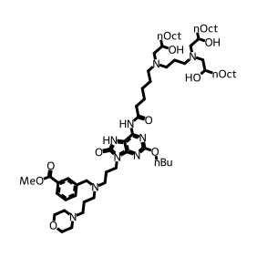 CCCCCCCCC(O)CN(CCCCCC(=O)Nc1nc(OCCCC)nc2c1[nH]c(=O)n2CCCN(CCCN1CCOCC1)Cc1cccc(C(=O)OC)c1)CCCN(CC(O)CCCCCCCC)CC(O)CCCCCCCC